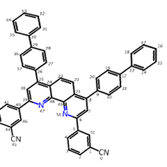 N#Cc1cccc(-c2cc(-c3ccc(-c4ccccc4)cc3)c3ccc4c(-c5ccc(-c6ccccc6)cc5)cc(-c5cccc(C#N)c5)nc4c3n2)c1